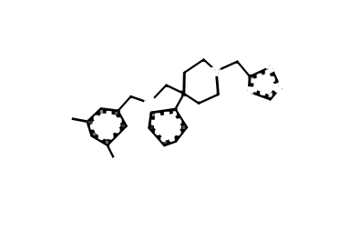 FC(F)(F)c1cc(COCC2(c3ccccc3)CCN(Cc3nnc[nH]3)CC2)cc(C(F)(F)F)c1